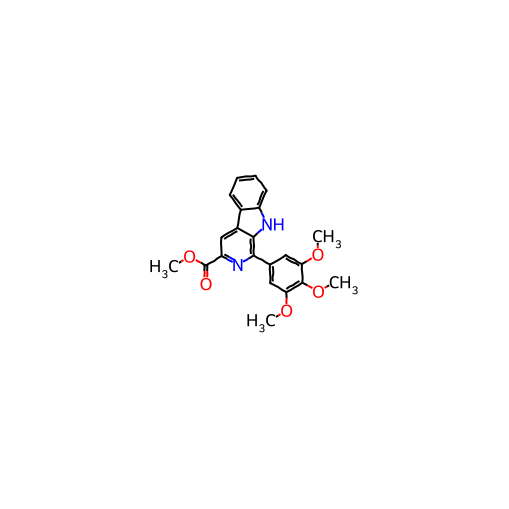 COC(=O)c1cc2c([nH]c3ccccc32)c(-c2cc(OC)c(OC)c(OC)c2)n1